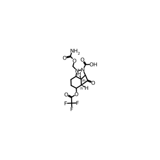 NC(=O)OCN1C2CCC(OC(=O)C(F)(F)F)[C@H]3C(=O)C([C@@H]23)N1C(=O)O